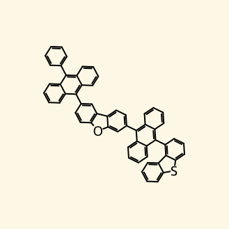 c1ccc(-c2c3ccccc3c(-c3ccc4oc5cc(-c6c7ccccc7c(-c7cccc8sc9ccccc9c78)c7ccccc67)ccc5c4c3)c3ccccc23)cc1